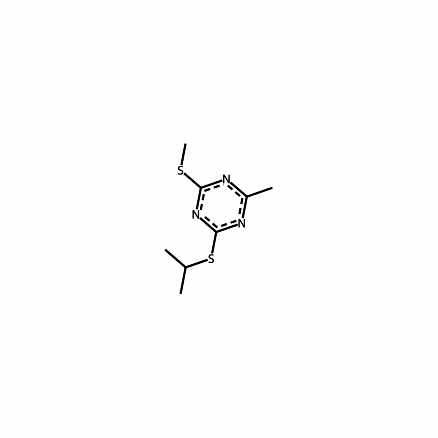 CSc1nc(C)nc(SC(C)C)n1